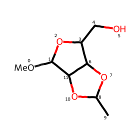 COC1OC(CO)C2OC(C)OC12